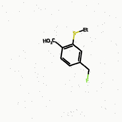 CCSc1cc(CF)ccc1C(=O)O